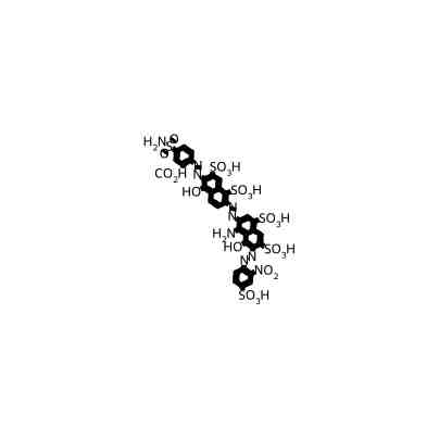 Nc1c(N=Nc2ccc3c(O)c(N=Nc4ccc(S(N)(=O)=O)cc4C(=O)O)c(S(=O)(=O)O)cc3c2S(=O)(=O)O)cc(S(=O)(=O)O)c2cc(S(=O)(=O)O)c(N=Nc3ccc(S(=O)(=O)O)cc3[N+](=O)[O-])c(O)c12